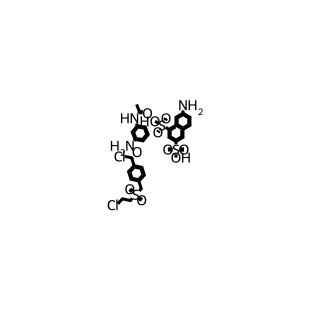 CC(=O)Nc1cccc(N)c1.Nc1ccc2cc(S(=O)(=O)O)cc(S(=O)(=O)O)c2c1.O=C(Cl)c1ccc(CS(=O)(=O)CCCl)cc1